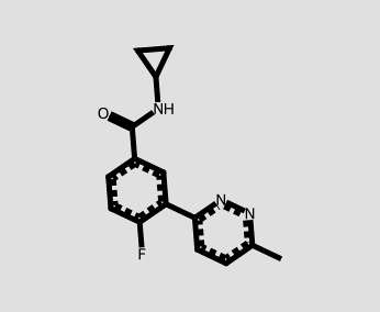 Cc1ccc(-c2cc(C(=O)NC3CC3)ccc2F)nn1